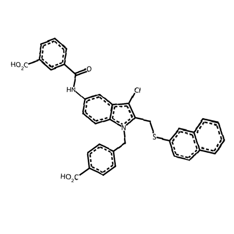 O=C(O)c1ccc(Cn2c(CSc3ccc4ccccc4c3)c(Cl)c3cc(NC(=O)c4cccc(C(=O)O)c4)ccc32)cc1